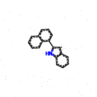 [c]1c(-c2cccc3ccccc23)[nH]c2ccccc12